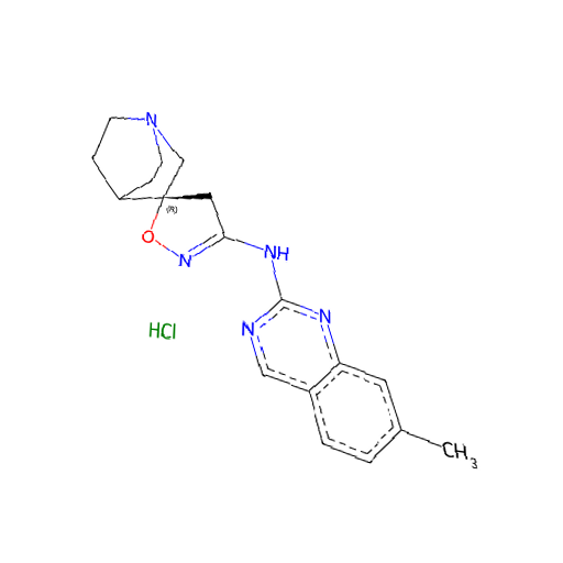 Cc1ccc2cnc(NC3=NO[C@@]4(C3)CN3CCC4CC3)nc2c1.Cl